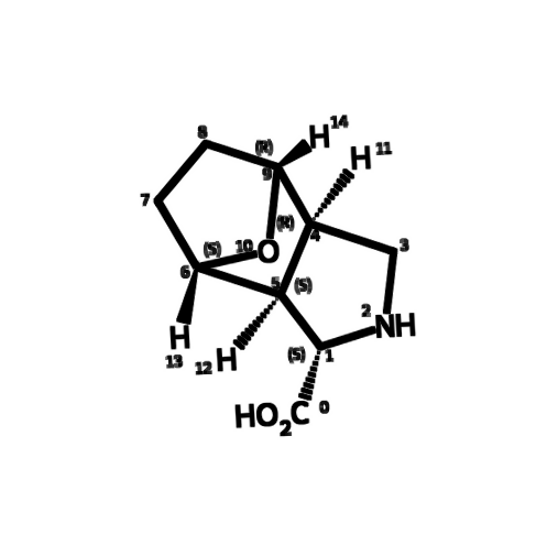 O=C(O)[C@H]1NC[C@H]2[C@@H]1[C@@H]1CC[C@H]2O1